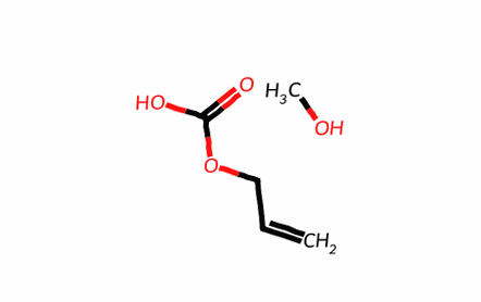 C=CCOC(=O)O.CO